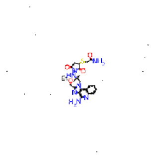 CCOCc1nc2c(N)nc3ccccc3c2n1CC(C)(C)NN1C(=O)CC(SCC(N)=O)C1=O